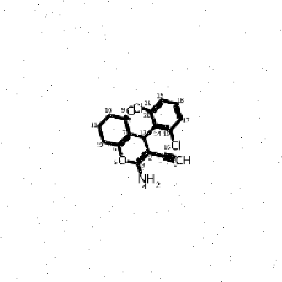 C#CC1=C(N)OC2=C(C(=O)CCC2)C1c1c(Cl)cccc1Cl